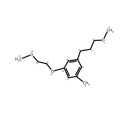 COCCCc1cc(C)cc(OCCOC)c1